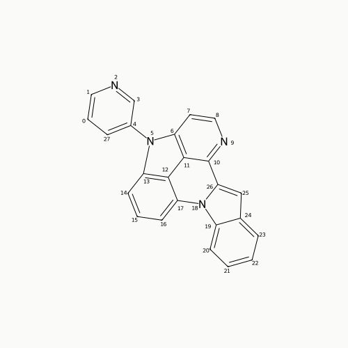 c1cncc(-n2c3ccnc4c3c3c2cccc3n2c3ccccc3cc42)c1